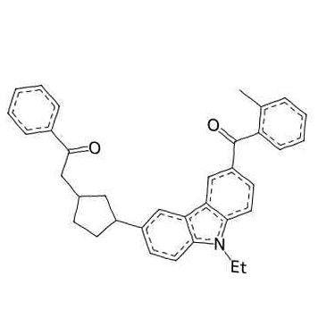 CCn1c2ccc(C(=O)c3ccccc3C)cc2c2cc(C3CCC(CC(=O)c4ccccc4)C3)ccc21